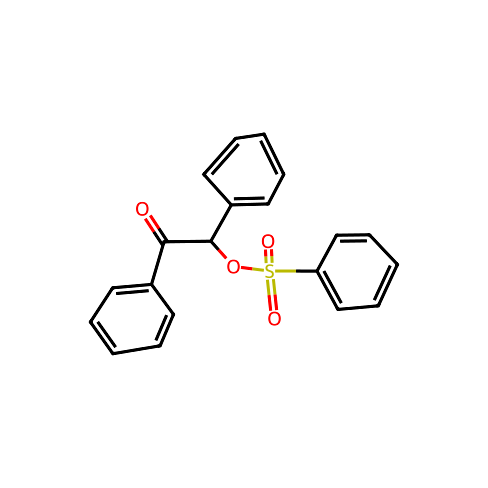 O=C(c1ccccc1)C(OS(=O)(=O)c1ccccc1)c1ccccc1